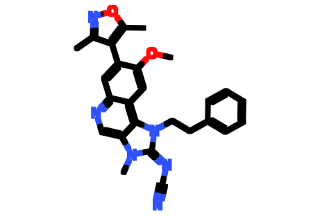 COc1cc2c(cc1-c1c(C)noc1C)ncc1c2n(CCc2ccccc2)c(=NC#N)n1C